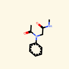 CNC(=O)CN(C(C)=O)c1ccccc1